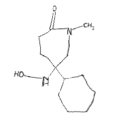 CN1CC(NO)(C2CCCCC2)CCC1=O